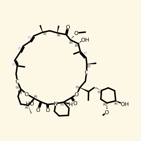 CO[C@@H]1C[C@H](CC(C)[C@@H]2CC[C@H](C)/C=C(\C)[C@@H](O)[C@@H](OC)C(=O)[C@H](C)C[C@H](C)/C=C/C=C/C=C(\C)CC[C@@H]3CC[C@@H](C)[C@@](O)(O3)C(=O)C(=O)N3CCCC[C@H]3C(=O)O2)CC[C@H]1O